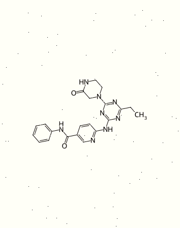 CCc1nc(Nc2ccc(C(=O)Nc3ccccc3)cn2)nc(N2CCNC(=O)C2)n1